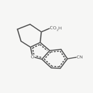 N#Cc1ccc2oc3c(c2c1)C(C(=O)O)CCC3